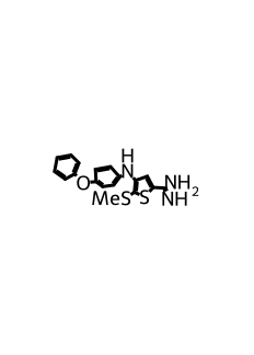 CSc1sc(C(=N)N)cc1Nc1ccc(Oc2ccccc2)cc1